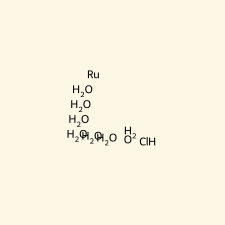 Cl.O.O.O.O.O.O.O.[Ru]